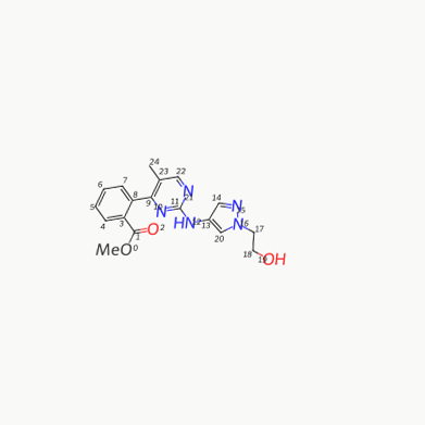 COC(=O)c1ccccc1-c1nc(Nc2cnn(CCO)c2)ncc1C